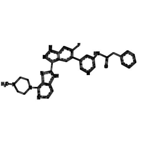 CN1CCN(c2nccc3[nH]c(-c4n[nH]c5cc(F)c(-c6cncc(NC(=O)Cc7ccccc7)c6)cc45)nc23)CC1